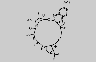 COc1ccc2nc3c(nc2c1)O[C@H]1CN(C(=O)[C@H](C(C)(C)C)NC(=O)O[C@@H]2CC4C([C@H]2CCCCC3(F)F)C4(F)F)[C@H](C(C)=O)[C@@H]1C